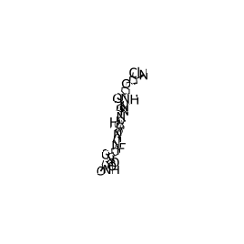 N#Cc1ccc(O[C@H]2CC[C@H](NC(=O)c3ccc(N4CC5C[C@@H](N6CCN(c7cc8c(cc7F)C(=O)N(C7CCC(=O)NC7=O)C8=O)CC6)C[C@H]5C4)nn3)CC2)cc1Cl